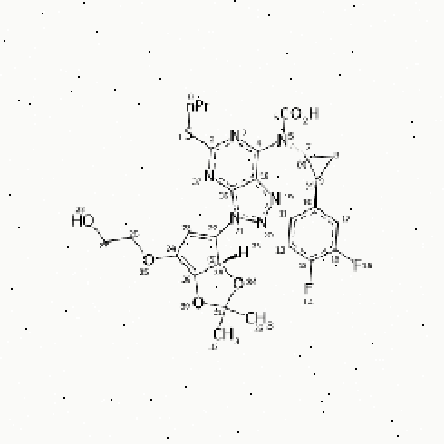 CCCSc1nc(N(C(=O)O)[C@@H]2C[C@H]2c2ccc(F)c(F)c2)c2nnn(C3=CC(OCCO)=C4OC(C)(C)O[C@@H]34)c2n1